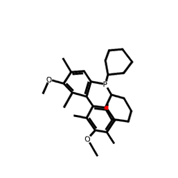 COc1c(C)cc(I)c(-c2c(P(C3CCCCC3)C3CCCCC3)cc(C)c(OC)c2C)c1C